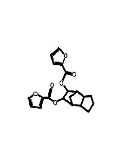 O=C(OC1C2CC(C3CCCC32)C1OC(=O)c1ccco1)c1ccco1